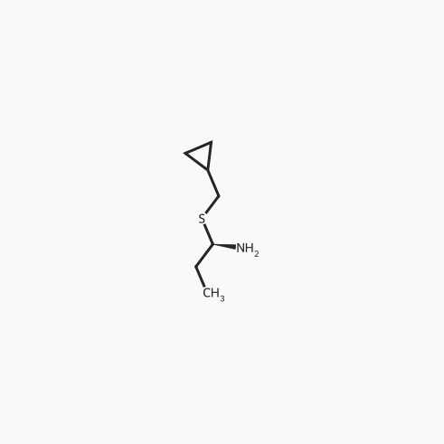 CC[C@H](N)SCC1CC1